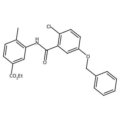 CCOC(=O)c1ccc(C)c(NC(=O)c2cc(OCc3ccccc3)ccc2Cl)c1